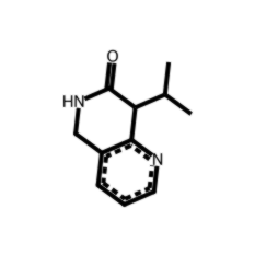 CC(C)C1C(=O)NCc2cccnc21